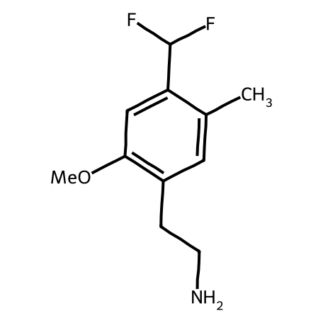 COc1cc(C(F)F)c(C)cc1CCN